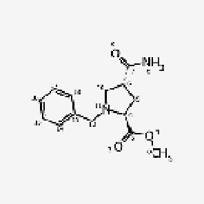 COC(=O)[C@@H]1C[C@@H](C(N)=O)CN1Cc1ccccc1